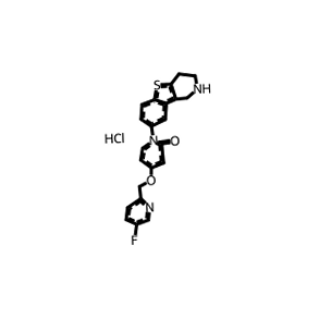 Cl.O=c1cc(OCc2ccc(F)cn2)ccn1-c1ccc2sc3c(c2c1)CNCC3